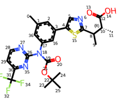 Cc1cc(-c2cnc(C(C)[C@@H](C)C(=O)O)s2)cc(N(C(=O)OC(C)(C)C)c2nccc(C(F)(F)F)n2)c1